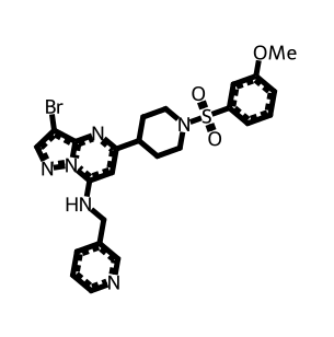 COc1cccc(S(=O)(=O)N2CCC(c3cc(NCc4cccnc4)n4ncc(Br)c4n3)CC2)c1